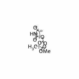 COC(=O)C(C)OC(=O)OC1CC(=O)NC1=O